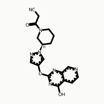 N#CCC(=O)N1CCC[C@@H](n2cc(Oc3nc(O)c4ccncc4n3)cn2)C1